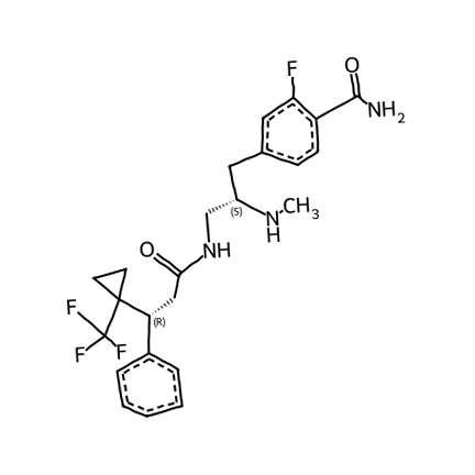 CN[C@H](CNC(=O)C[C@H](c1ccccc1)C1(C(F)(F)F)CC1)Cc1ccc(C(N)=O)c(F)c1